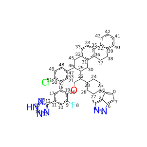 C1=CC2=CN=NC2=C1.Fc1cc(-c2nn[nH]n2)ccc1OCC(C1CCCCC1)C1Cc2c(ccc3c2CCc2ccccc2-3)CC1c1ccc(Cl)cc1